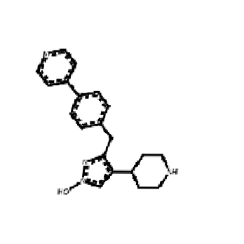 On1cc(C2CCNCC2)c(Cc2ccc(-c3ccncc3)cc2)n1